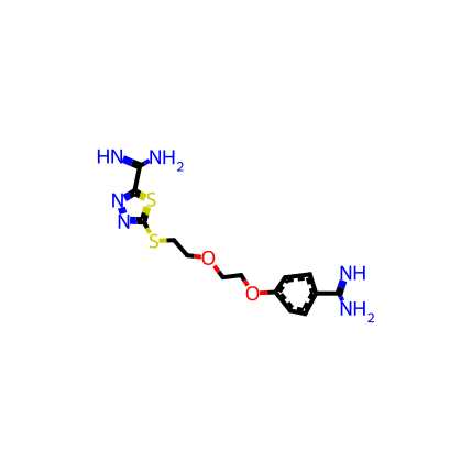 N=C(N)c1ccc(OCCOCCSc2nnc(C(=N)N)s2)cc1